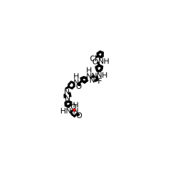 O=C1CCC(Nc2ccc(N3CCN(CC4CCC(NC(=O)c5ccc(Nc6ncc(F)c(Nc7ccc(C(=O)Nc8ccccc8Cl)cc7)n6)cc5)CC4)CC3)cc2)C(=O)N1